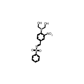 O=[N+]([O-])c1cc(C=NS(=O)(=O)c2ccccc2)ccc1N(CO)CO